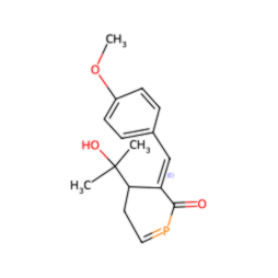 COc1ccc(/C=C2/C(=O)P=CCC2C(C)(C)O)cc1